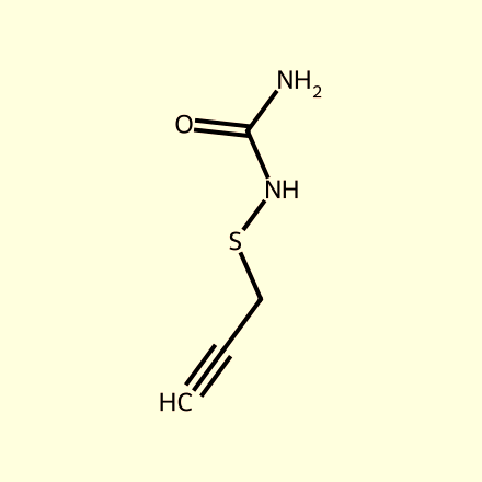 C#CCSNC(N)=O